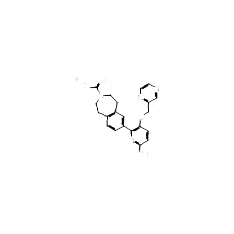 C=C(OC(C)(C)C)N1CCc2ccc(-c3nc(C)ccc3OCc3cnccn3)cc2CC1